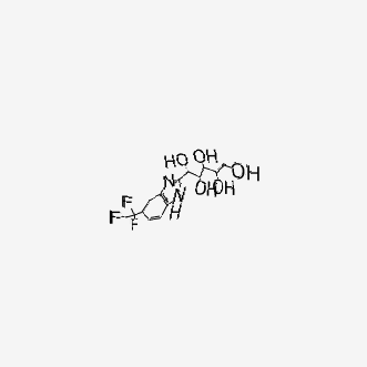 OCC(O)C(O)C(O)[C@@H](O)c1nc2cc(C(F)(F)F)ccc2[nH]1